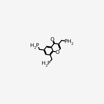 O=c1c(CP)coc2c(CP)cc(CP)cc12